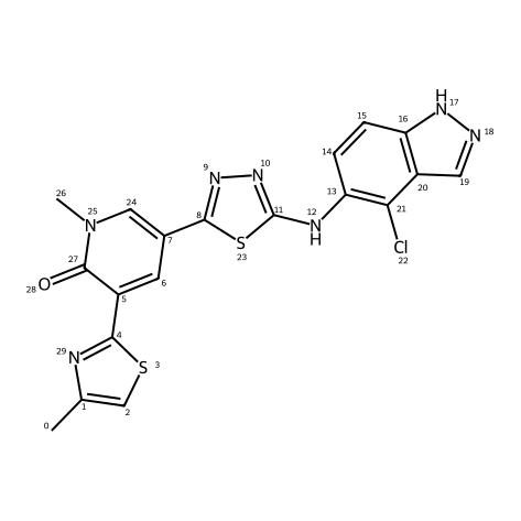 Cc1csc(-c2cc(-c3nnc(Nc4ccc5[nH]ncc5c4Cl)s3)cn(C)c2=O)n1